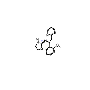 COc1ccccc1C(Cc1ccccn1)/N=C1/NCCS1